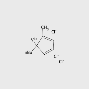 CCCC[C]1([V+3])C=CC=C1C.[Cl-].[Cl-].[Cl-]